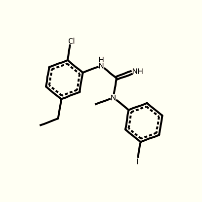 CCc1ccc(Cl)c(NC(=N)N(C)c2cccc(I)c2)c1